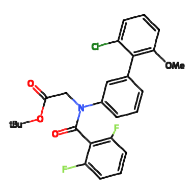 COc1cccc(Cl)c1-c1cccc(N(CC(=O)OC(C)(C)C)C(=O)c2c(F)cccc2F)c1